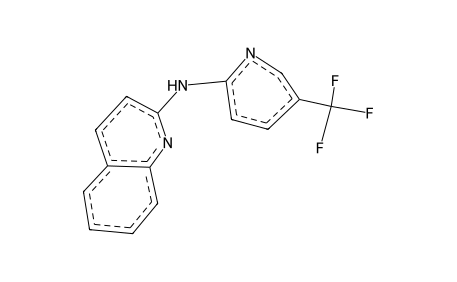 FC(F)(F)c1ccc(Nc2ccc3ccccc3n2)nc1